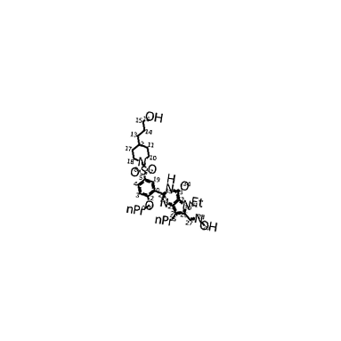 CCCOc1ccc(S(=O)(=O)N2CCC(CCCO)CC2)cc1-c1nc2c(CCC)c(/C=N/O)n(CC)c2c(=O)[nH]1